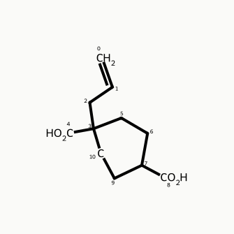 C=CCC1(C(=O)O)CCC(C(=O)O)CC1